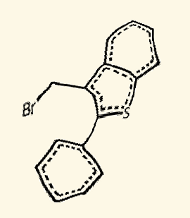 BrCc1c(-c2ccccc2)sc2ccccc12